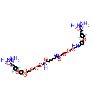 C/C(=C\c1cc(F)c(Oc2ccc(CNCCOCCOCCOCCNC(=O)CCCCCCC(=O)NCCOCCOCCOCCCS(=O)(=O)c3ccc(Oc4c(F)cc(/C=C(\C)C(=O)N=C(N)N)cc4F)cc3)cc2)c(F)c1)C(=O)N=C(N)N